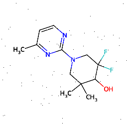 Cc1ccnc(N2CC(C)(C)C(O)C(F)(F)C2)n1